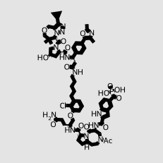 CC(=O)N1CC[C@H]2CC[C@@H](C(=O)N[C@@H](CCC(N)=O)COc3cccc(CCCCCNC(=O)C[C@H](NC(=O)[C@@H]4C[C@@H](O)CN4C(=O)[C@H]4n5nnc(C6CC6)c5COCC4(C)C)c4ccc(-c5oc(C)nc5C)cc4)c3Cl)N2C(=O)[C@@H](NC(=O)c2cc3cc(C(=O)P(=O)(O)O)ccc3[nH]2)C1